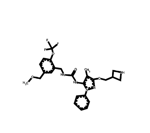 COCc1ccc(OC(F)(F)F)c(CNC(=O)Nc2c(C)c(OCC3CNC3)nn2-c2ccccc2)c1